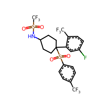 O=S(=O)(NC1CCC(c2cc(F)ccc2C(F)(F)F)(S(=O)(=O)c2ccc(C(F)(F)F)cc2)CC1)C(F)(F)F